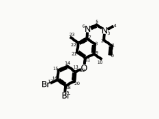 C=CCN(C)/C=N\c1cc(C)c(Oc2ccc(Br)c(Br)c2)cc1C